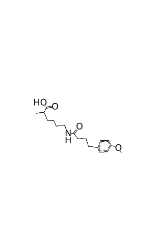 COc1ccc(CCCC(=O)NCCCCC(C)C(=O)O)cc1